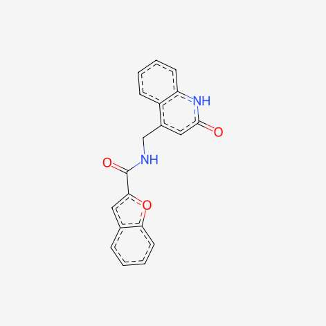 O=C(NCc1cc(=O)[nH]c2ccccc12)c1cc2ccccc2o1